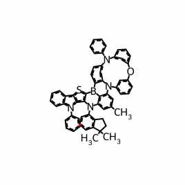 Cc1cc2c3c(c1)N(c1cccc4c1CCC4(C)C)c1c(sc4c5ccccc5n(-c5ccccc5)c14)B3c1ccc3cc1N2c1cccc(c1)Oc1cccc(c1)N3c1ccccc1